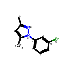 Cc1cc(C(F)(F)F)n(-c2cccc(Br)c2)n1